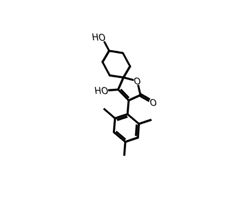 Cc1cc(C)c(C2=C(O)C3(CCC(O)CC3)OC2=O)c(C)c1